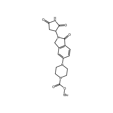 CC(C)(C)OC(=O)N1CCN(c2ccc3c(c2)CN(C2CC(=O)NC2=O)C3=O)CC1